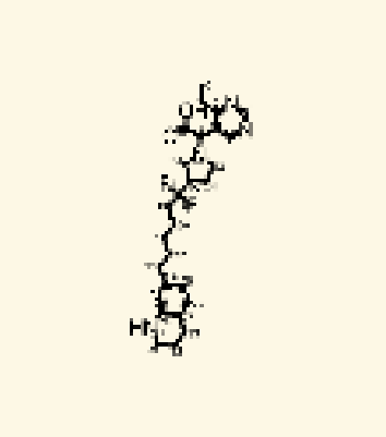 CCc1ncncc1C(C(=O)O)N1CC[C@@H](C(F)(F)CCCCCc2ccc3c(n2)NCCC3)C1